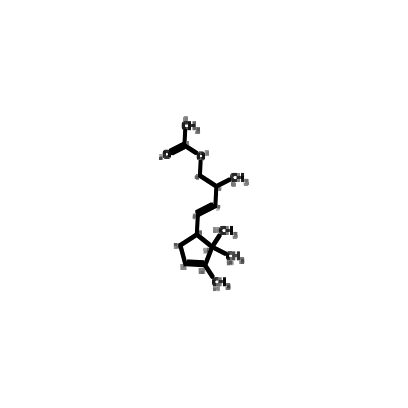 CC(=O)OCC(C)C=CC1CC=C(C)C1(C)C